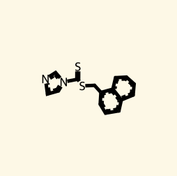 S=C(SCc1cccc2ccccc12)n1ccnc1